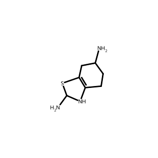 NC1CCC2=C(C1)SC(N)N2